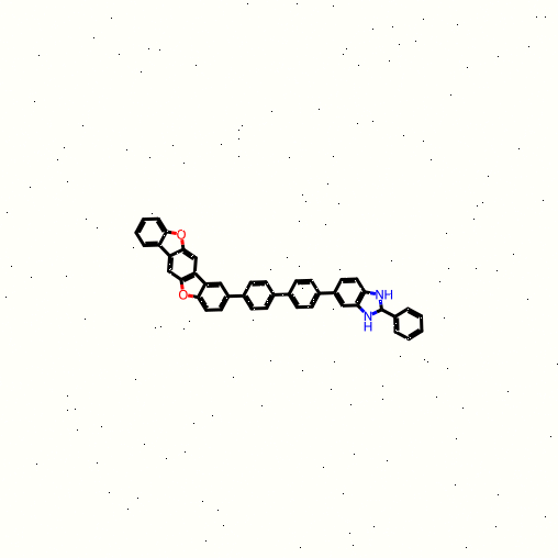 c1ccc(C2Nc3ccc(-c4ccc(-c5ccc(-c6ccc7oc8cc9c(cc8c7c6)oc6ccccc69)cc5)cc4)cc3N2)cc1